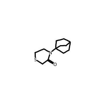 O=C1CSCCN1C12CCC(CC1)CC2